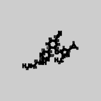 Cn1nc(C2CC2)cc1Oc1cc(C#N)ccc1-c1cnc(NCCN)nc1